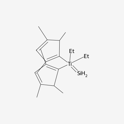 C[CH2][Ti](=[SiH2])([CH2]C)([C]1=C(C)C=C(C)C1C)[C]1=C(C)C=C(C)C1C